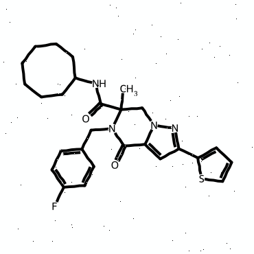 CC1(C(=O)NC2CCCCCCC2)Cn2nc(-c3cccs3)cc2C(=O)N1Cc1ccc(F)cc1